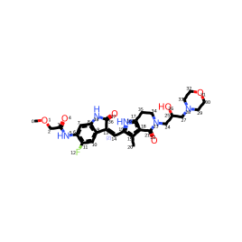 COCC(=O)Nc1cc2c(cc1F)/C(=C/c1[nH]c3c(c1C)C(=O)N(CC(O)CN1CCOCC1)CC3)C(=O)N2